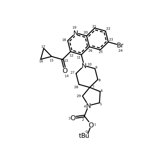 CC(C)(C)OC(=O)N1CCC2(CCN(c3c(C(=O)C4CC4)cnc4ccc(Br)cc34)CC2)C1